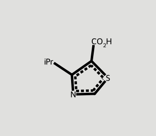 CC(C)c1ncsc1C(=O)O